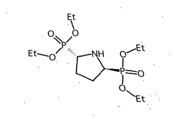 CCOP(=O)(OCC)[C@H]1CC[C@H](P(=O)(OCC)OCC)N1